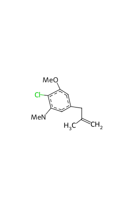 C=C(C)Cc1cc(NC)c(Cl)c(OC)c1